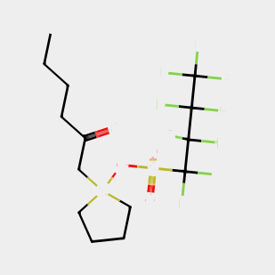 CCCCC(=O)CS1(OS(=O)(=O)C(F)(F)C(F)(F)C(F)(F)C(F)(F)F)CCCC1